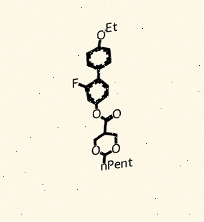 CCCCCC1OCC(C(=O)Oc2ccc(-c3ccc(OCC)cc3)c(F)c2)CO1